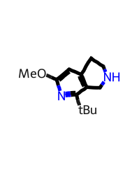 COc1cc2c(c(C(C)(C)C)n1)CNCC2